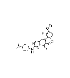 CCOc1ccc(Cl)c(N2Cc3cnc(NC4CCC(N(C)C)CC4)nc3N(CC)C2=O)c1F